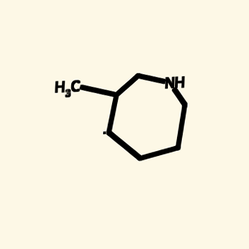 CC1[CH]CCCNC1